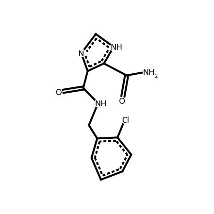 NC(=O)c1[nH]cnc1C(=O)NCc1ccccc1Cl